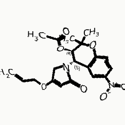 C=CCOC1=CC(=O)N([C@H]2c3cc([N+](=O)[O-])ccc3OC(C)(C)[C@@H]2OC(C)=O)C1